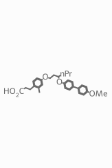 CCCC(CCOc1ccc(CCC(=O)O)c(C)c1)Oc1ccc(-c2ccc(OC)cc2)cc1